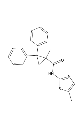 Cc1cnc(NC(=O)C2(C)CC2(c2ccccc2)c2ccccc2)s1